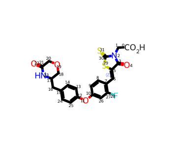 O=C(O)CN1C(=O)/C(=C/c2ccc(Oc3ccc(CC4COCC(=O)N4)cc3)cc2F)SC1=S